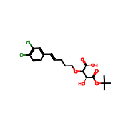 CC(C)(C)OC(=O)[C@H](O)[C@@H](OCCCC=Cc1ccc(Cl)c(Cl)c1)C(=O)O